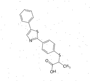 CC(Sc1ccc(-c2ncc(-c3ccccc3)s2)cc1)C(=O)O